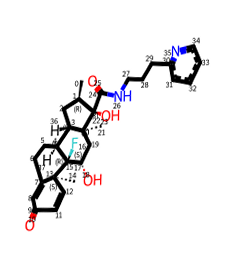 C[C@@H]1C[C@H]2[C@@H]3CCC4=CC(=O)C=C[C@]4(C)[C@@]3(F)[C@@H](O)C[C@]2(C)[C@@]1(O)C(=O)NCCCc1ccccn1